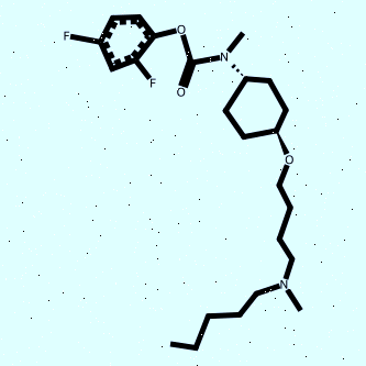 CCCCCN(C)CCCCO[C@H]1CC[C@H](N(C)C(=O)Oc2ccc(F)cc2F)CC1